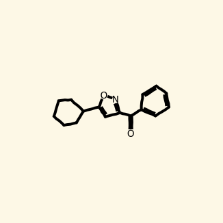 O=C(c1ccccc1)c1cc(C2CCCCC2)on1